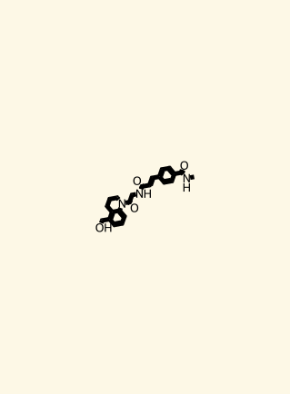 CNC(=O)c1ccc(/C=C/C(=O)NCC(=O)N2CCCc3c(CO)cccc32)cc1